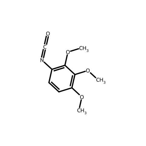 COc1ccc(N=C=O)c(OC)c1OC